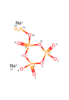 O=P1([O-])OP(=O)([O-])OP(=O)(OP)O1.[Na+].[Na+]